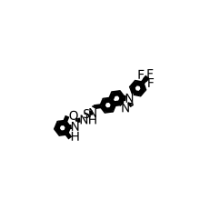 Cc1cccc(C)c1NC(=O)NS/N=C/c1ccc2c(ccc3c2ncn3-c2ccc(C(F)(F)F)cc2)c1